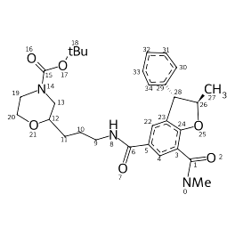 CNC(=O)c1cc(C(=O)NCCCC2CN(C(=O)OC(C)(C)C)CCO2)cc2c1O[C@H](C)[C@H]2c1ccccc1